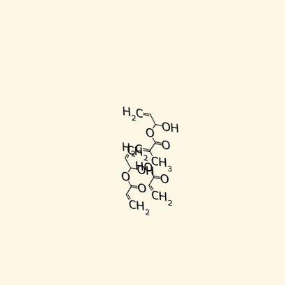 C=CC(=O)O.C=CC(=O)OC(O)C=C.C=CC(O)OC(=O)C(=C)C